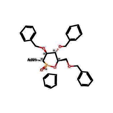 CC(=O)N[C@@H]1[C@@H](OCc2ccccc2)[C@H](OCc2ccccc2)[C@@H](COCc2ccccc2)O[P@@]1(=O)c1ccccc1